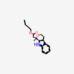 CCCOC(=O)CC1(C)OCCc2c1[nH]c1ccccc21